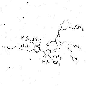 CCCCCCc1cc(-c2sc(C(C)(C)C)c3c2OCC(COCC(CC)CCCC)(COCC(CC)CCCC)CO3)sc1C(C)(C)C